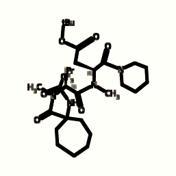 CC(C)[C@@H](C(=O)N(C)[C@@H](CC(=O)OC(C)(C)C)C(=O)N1CCCCC1)N(C)C(=O)C1(NC(=O)C(F)(F)F)CCCCCC1